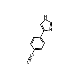 [C-]#[N+]c1ccc(-c2c[nH]cn2)cc1